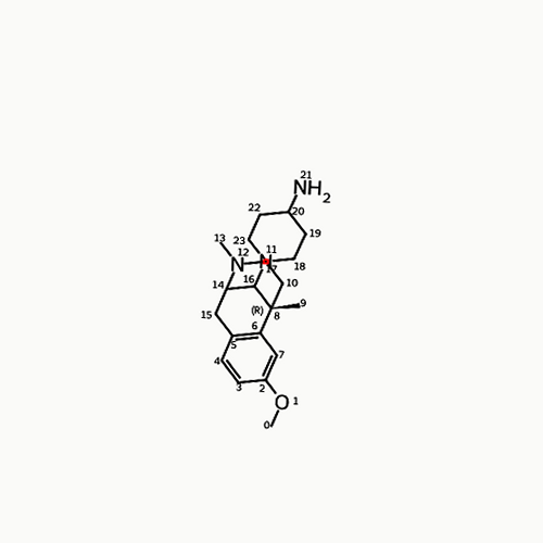 COc1ccc2c(c1)[C@@]1(C)CCN(C)C(C2)C1N1CCC(N)CC1